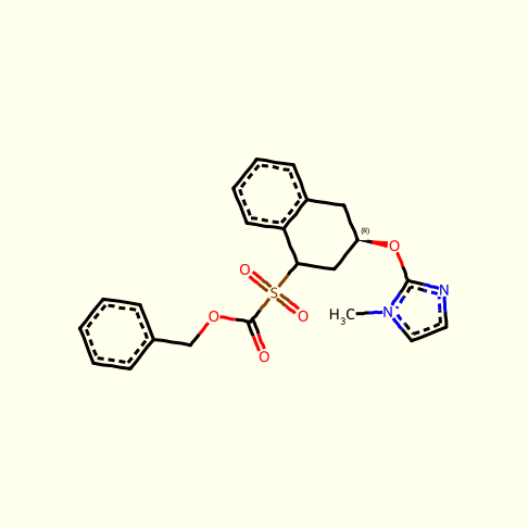 Cn1ccnc1O[C@@H]1Cc2ccccc2C(S(=O)(=O)C(=O)OCc2ccccc2)C1